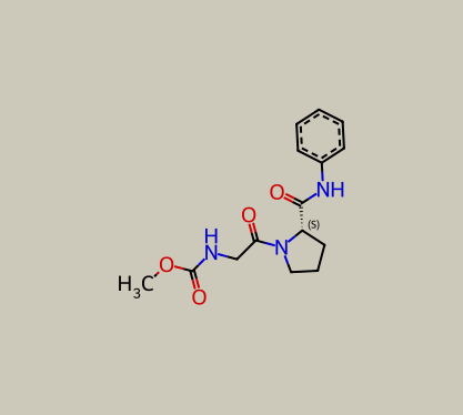 COC(=O)NCC(=O)N1CCC[C@H]1C(=O)Nc1ccccc1